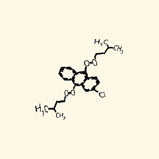 CC(C)CCOOc1c2ccccc2c(OOCCC(C)C)c2cc(Cl)ccc12